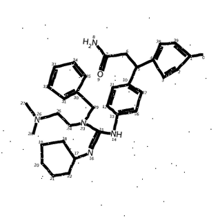 Cc1ccc(C(CC(N)=O)c2ccc(N/C(=N/C3CCCCC3)N(CCN(C)C)Cc3ccccc3)cc2)cc1